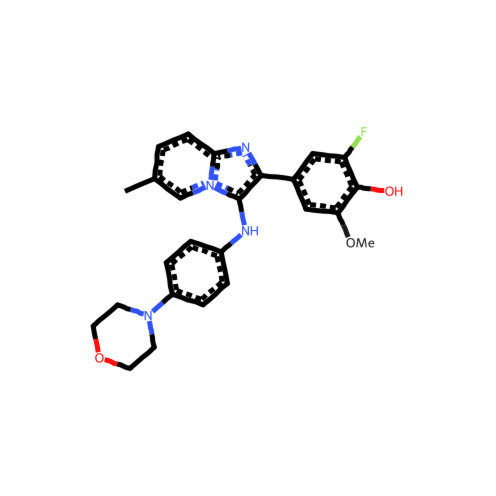 COc1cc(-c2nc3ccc(C)cn3c2Nc2ccc(N3CCOCC3)cc2)cc(F)c1O